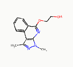 Cc1nn(C)c2nc(OCCO)c3ccccc3c12